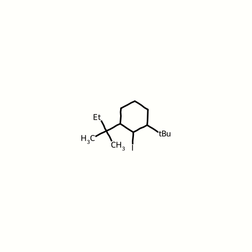 CCC(C)(C)C1CCCC(C(C)(C)C)C1I